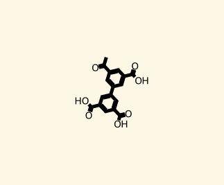 CC(=O)c1cc(C(=O)O)cc(-c2cc(C(=O)O)cc(C(=O)O)c2)c1